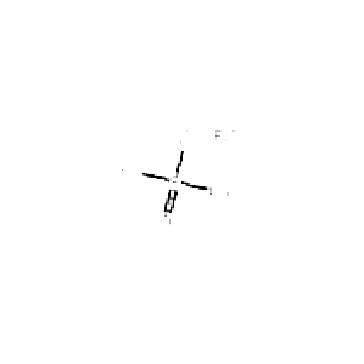 O=P([O-])([O-])F.[Fe+2]